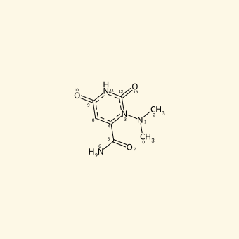 CN(C)n1c(C(N)=O)cc(=O)[nH]c1=O